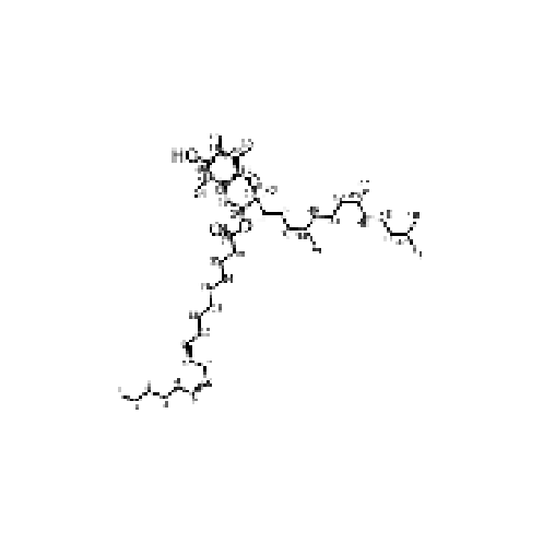 CCCCC/C=C\C/C=C\CCCCCCCC(=O)OC1Cc2c(C)c(O)c(C)c(C)c2O[C@@]1(C)CCC[C@H](C)CCC[C@@H](C)CCCC(C)C